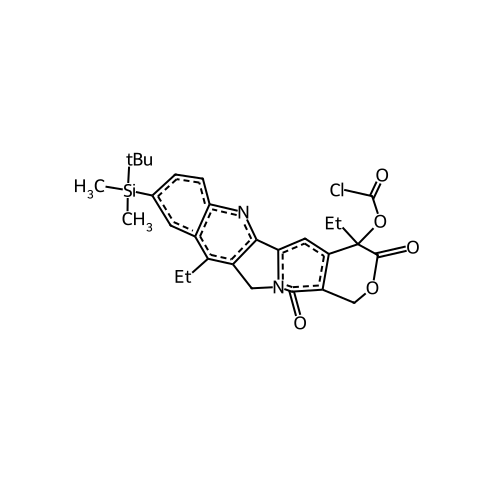 CCc1c2c(nc3ccc([Si](C)(C)C(C)(C)C)cc13)-c1cc3c(c(=O)n1C2)COC(=O)C3(CC)OC(=O)Cl